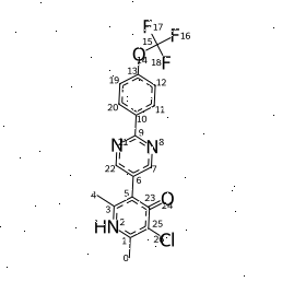 Cc1[nH]c(C)c(-c2cnc(-c3ccc(OC(F)(F)F)cc3)nc2)c(=O)c1Cl